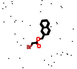 O=C(CBr)OCc1ccc2ccccc2c1